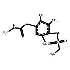 CCS(=O)(=O)Nc1c(C)cc(OC(=O)NC)c(C)c1C